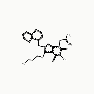 C=C(C)Cn1c(=O)n(C)c(=O)c2c(SCCCO)n(Cc3cccc4ccccc34)cc21